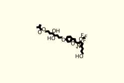 C=C(C)C(=O)OCCCC(O)C(O)CCCOc1ccc2cc(-c3c(OC(F)(F)F)cc(CCCO)n3C)oc2c1